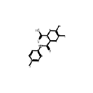 CC1=C(C)CC(C(=O)Nc2ccc(C)cc2)C(C(=O)O)C1